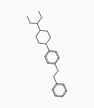 COC(OC)C1CCN(c2ccc(OCc3ccccc3)cc2)CC1